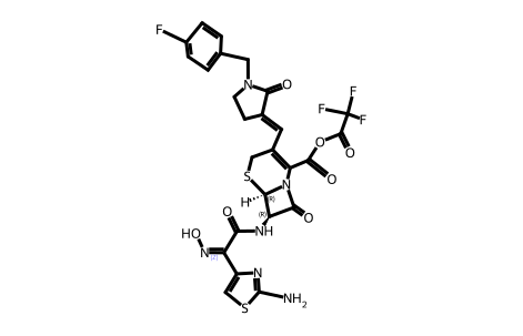 Nc1nc(/C(=N/O)C(=O)N[C@@H]2C(=O)N3C(C(=O)OC(=O)C(F)(F)F)=C(C=C4CCN(Cc5ccc(F)cc5)C4=O)CS[C@H]23)cs1